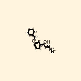 [N-]=[N+]=NCC(O)c1cccc(OCC2CCCCC2)c1